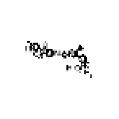 CC(C)n1ncc2ccc(-c3cn([C@H]4C[C@H](CNc5ccc6c(c5)C(=O)N(C5CCC(=O)NC5=O)C6=O)C4)nc3C3CC3)nc21